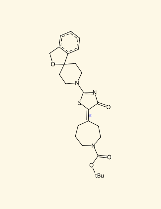 CC(C)(C)OC(=O)N1CCC/C(=C2\SC(N3CCC4(CC3)OCc3ccccc34)=NC2=O)CC1